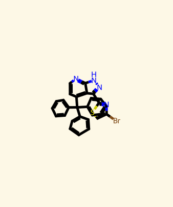 Brc1csc(-c2n[nH]c3nccc(C(c4ccccc4)(c4ccccc4)c4ccccc4)c23)n1